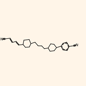 N#CC=CC=CC1CCC(CCCCC2CCC(c3ccc(C#N)cc3)CC2)CC1